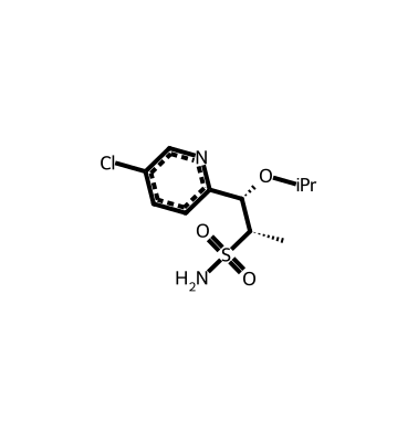 CC(C)O[C@@H](c1ccc(Cl)cn1)[C@H](C)S(N)(=O)=O